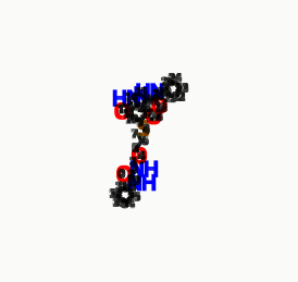 O=C(NCOCCCSC1=CC(=O)c2[nH]nc(C(=O)Nc3ccccc3)c2C1=O)Nc1ccccc1